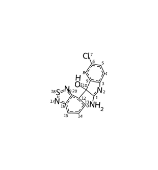 NC1=Nc2ccc(Cl)cc2C1(O)c1cccc2nsnc12